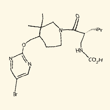 CC(C)[C@H](NC(=O)O)C(=O)N1CCC(Oc2ncc(Br)cn2)C(C)(C)C1